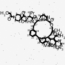 C=CC(=O)N1CCC2(CC1)OCN([C@H](C(=O)N[C@H]1Cc3cccc(c3)-c3ccc4c(c3)c(c(/C(C=C)=C(/N=C\C)[C@H](C)OC)n4CC)CC(C)(C)COC(=O)[C@@H]3CCCN(N3)C1=O)C(C)C)C2=O